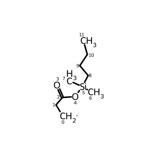 [CH2]CC(=O)O[Si](C)(C)CCCC